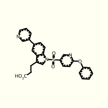 O=C(O)CCc1cn(S(=O)(=O)c2ccc(Oc3ccccc3)nc2)c2ccc(-c3cccnc3)cc12